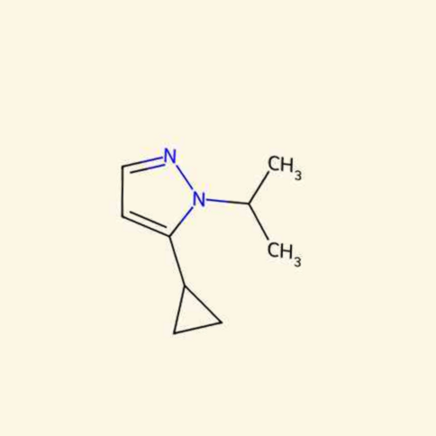 CC(C)n1nccc1C1CC1